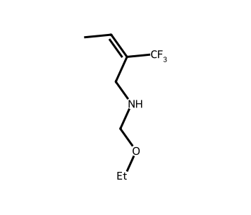 C/C=C(\CNCOCC)C(F)(F)F